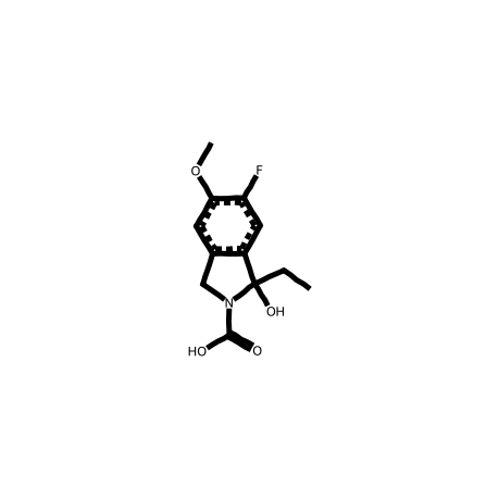 CCC1(O)c2cc(F)c(OC)cc2CN1C(=O)O